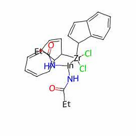 CCC(=O)[NH][In]([NH]C(=O)CC)[Zr]([Cl])([Cl])([CH]1C=Cc2ccccc21)[CH]1C=Cc2ccccc21